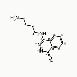 NCCCCNc1n[nH]c(=O)c2ccccc12